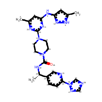 Cc1cc(Nc2cc(C)[nH]n2)nc(N2CCN(C(=O)N[C@@H](C)c3ccc(-n4cncn4)nc3)CC2)n1